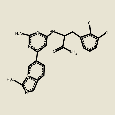 Cc1ncc2ccc(-c3cc(NC(Cc4cccc(Cl)c4Cl)C(N)=O)nc(N)n3)cn12